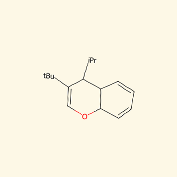 CC(C)C1C(C(C)(C)C)=COC2C=CC=CC21